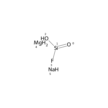 O=[Si](O)F.[MgH2].[NaH]